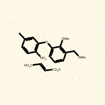 CNCc1cccc(Oc2cc(C)ccc2[N+](=O)[O-])c1OC.O=C(O)/C=C/C(=O)O